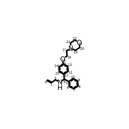 C=CCNC(c1ccccc1)c1ccc(OCCN2CCOCC2)cc1